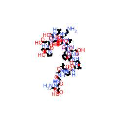 CC[C@H](C)[C@H](NC(=O)[C@H](CCC(=O)O)NC(=O)[C@@H](NC(=O)[C@H](CO)NC(=O)[C@@H](NC(=O)[C@H](CCCCN)NC(=O)[C@H](CO)NC(=O)[C@H](CC(C)C)NC(=O)[C@H](Cc1ccccc1)NC(=O)[C@H](CC(=O)O)NC(=O)[C@@H](NC(=O)[C@@H]1CCCN1C(=O)[C@H](CC(C)C)NC(=O)[C@@H]1CCCN1C(=O)[C@@H](NC(=O)[C@H](C)NC(=O)CNC(=O)[C@H](CCC(=O)O)NC(=O)[C@H](C)N)[C@@H](C)CC)C(C)C)C(C)C)[C@@H](C)O)C(=O)N1CCC[C@H]1C(=O)O